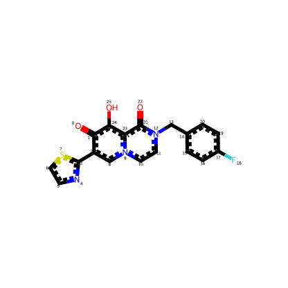 O=c1c(-c2nccs2)cn2ccn(Cc3ccc(F)cc3)c(=O)c2c1O